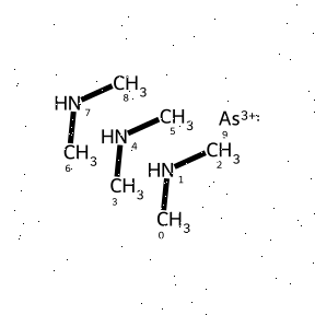 CNC.CNC.CNC.[As+3]